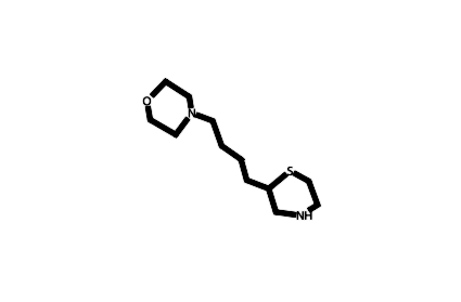 [CH](CCN1CCOCC1)CC1CNCCS1